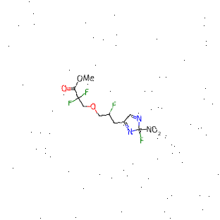 COC(=O)C(F)(F)COCC(F)CC1=NC(F)([N+](=O)[O-])N=C1